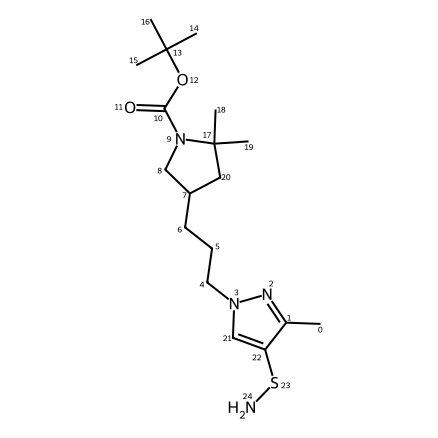 Cc1nn(CCCC2CN(C(=O)OC(C)(C)C)C(C)(C)C2)cc1SN